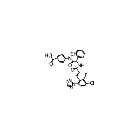 CN(C(=O)C(NC(=O)C=Cc1c(-n2ncnn2)ccc(Cl)c1F)c1ccccc1)c1ccc(C(=O)O)cc1